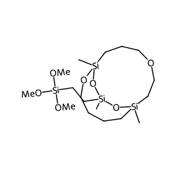 CO[Si](CC[Si]1(C)O[Si]2(C)CCCCO[Si](C)(CCCOCC2)O1)(OC)OC